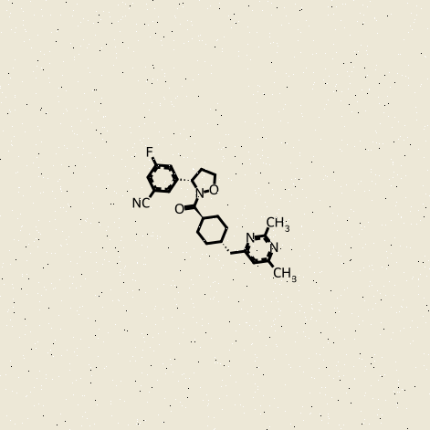 Cc1cc(C[C@H]2CC[C@H](C(=O)N3OCC[C@H]3c3cc(F)cc(C#N)c3)CC2)nc(C)n1